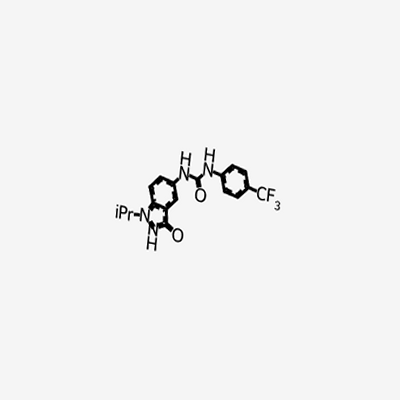 CC(C)n1[nH]c(=O)c2cc(NC(=O)Nc3ccc(C(F)(F)F)cc3)ccc21